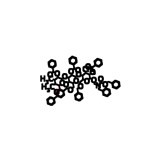 CC1C(COCc2ccccc2)OC(OC2C3OC(c4ccccc4)OCC3OC(OC3C(COCc4ccccc4)OC(OCN(Cc4ccccc4)C(=O)OCc4ccccc4)C(OC(=O)c4ccccc4)C3C)C2OC(=O)c2ccccc2)C(OC(=O)c2ccccc2)C1C